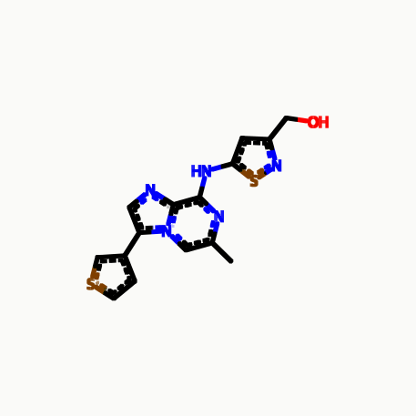 Cc1cn2c(-c3ccsc3)cnc2c(Nc2cc(CO)ns2)n1